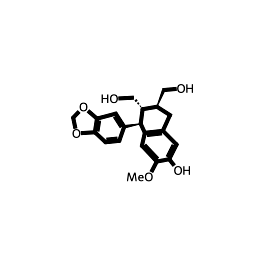 COc1cc2c(cc1O)C[C@H](CO)[C@@H](CO)[C@@H]2c1ccc2c(c1)OCO2